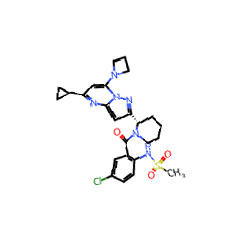 CS(=O)(=O)Nc1ccc(Cl)cc1C(=O)N1CCCC[C@H]1c1cc2nc(C3CC3)cc(N3CCC3)n2n1